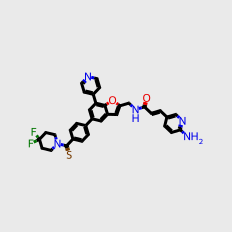 Nc1ccc(/C=C/C(=O)NCc2cc3cc(-c4ccc(C(=S)N5CCC(F)(F)CC5)cc4)cc(-c4ccncc4)c3o2)cn1